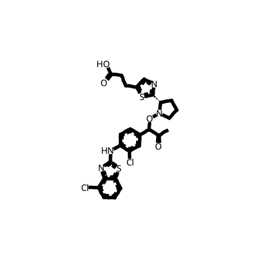 CC(=O)C(ON1CCC[C@H]1c1ncc(CCC(=O)O)s1)c1ccc(Nc2nc3c(Cl)cccc3s2)c(Cl)c1